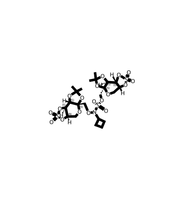 CC1(C)O[C@H]2[C@@H]3OS(=O)(=O)O[C@@H]3CO[C@@]2(CON(C2CCC2)S(=O)(=O)OC[C@@]23OC[C@H]4OS(=O)(=O)O[C@H]4[C@@H]2OC(C)(C)O3)O1